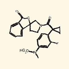 CN(C(=O)O)c1ccc(C2(C(=O)N3CCC4(C3)OC(=O)c3ccccc34)CC2)c(F)c1